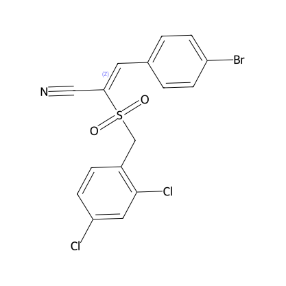 N#C/C(=C/c1ccc(Br)cc1)S(=O)(=O)Cc1ccc(Cl)cc1Cl